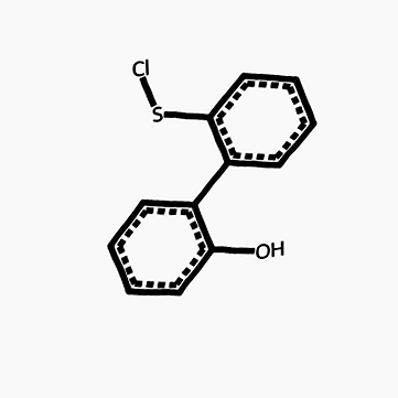 Oc1ccccc1-c1ccccc1SCl